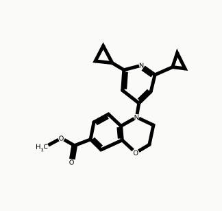 COC(=O)c1ccc2c(c1)OCCN2c1cc(C2CC2)nc(C2CC2)c1